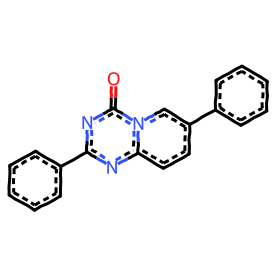 O=c1nc(-c2ccccc2)nc2ccc(-c3ccccc3)cn12